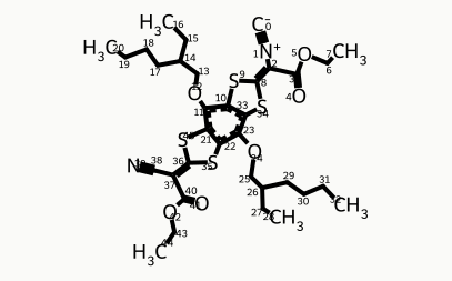 [C-]#[N+]C(C(=O)OCC)=C1Sc2c(OCC(CC)CCCC)c3c(c(OCC(CC)CCCC)c2S1)SC(=C(C#N)C(=O)OCC)S3